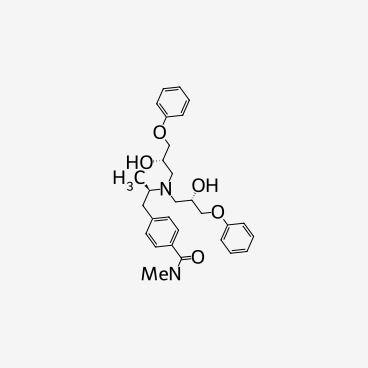 CNC(=O)c1ccc(C[C@@H](C)N(C[C@H](O)COc2ccccc2)C[C@H](O)COc2ccccc2)cc1